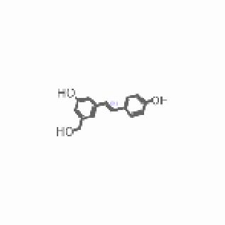 OCc1cc(O)cc(/C=C/c2ccc(O)cc2)c1